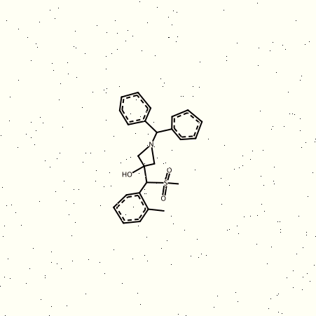 Cc1ccccc1C(C1(O)CN(C(c2ccccc2)c2ccccc2)C1)S(C)(=O)=O